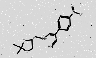 CC1(C)OC[C@@H](CN/C=C(\C=N)c2ccc([N+](=O)[O-])cc2)O1